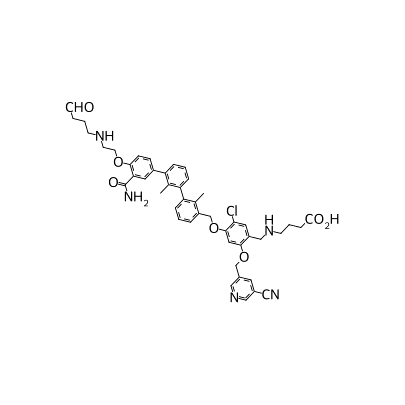 Cc1c(COc2cc(OCc3cncc(C#N)c3)c(CNCCCC(=O)O)cc2Cl)cccc1-c1cccc(-c2ccc(OCCNCCCC=O)c(C(N)=O)c2)c1C